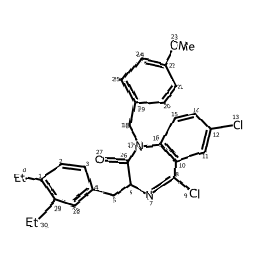 CCc1ccc(CC2N=C(Cl)c3cc(Cl)ccc3N(Cc3ccc(OC)cc3)C2=O)cc1CC